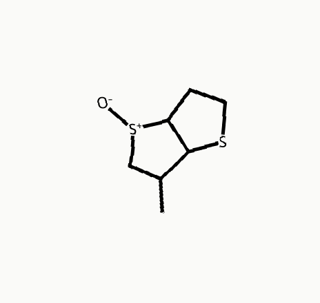 CC1C[S+]([O-])C2CCSC12